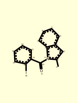 Cc1cc2ccccc2n1C(=O)c1ccccc1I